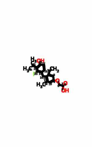 C=Cc1cc(OCC(=O)O)cc(C)c1Cc1ccc(O)c(C(C)C)c1F